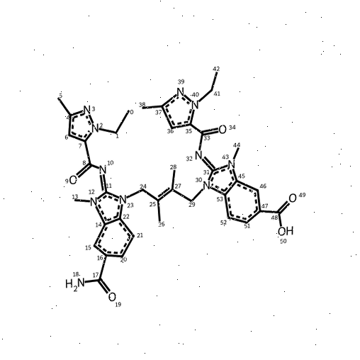 CCn1nc(C)cc1C(=O)/N=c1\n(C)c2cc(C(N)=O)ccc2n1C/C(C)=C(\C)Cn1/c(=N/C(=O)c2cc(C)nn2CC)n(C)c2cc(C(=O)O)ccc21